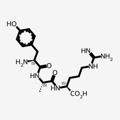 C[C@H](NC(=O)[C@@H](N)Cc1ccc(O)cc1)C(=O)N[C@@H](CCCNC(=N)N)C(=O)O